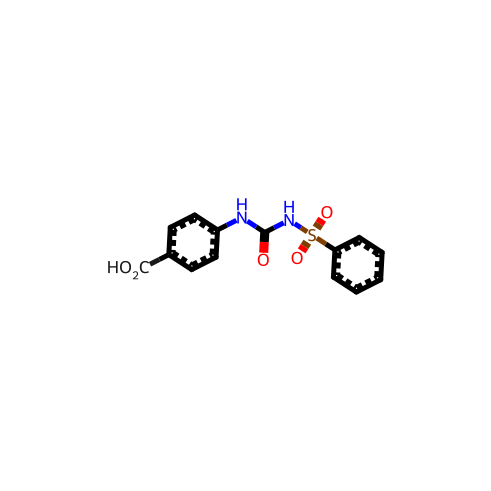 O=C(Nc1ccc(C(=O)O)cc1)NS(=O)(=O)c1ccccc1